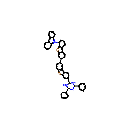 C1=CCCC(C2NC(c3ccccc3)NC(c3ccc4c(c3)sc3ccc(-c5ccc6c(c5)sc5c(-n7c8ccccc8c8ccccc87)cccc56)cc34)N2)=C1